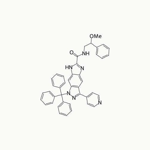 COC(CNC(=O)c1nc2cc3c(-c4ccncc4)nn(C(c4ccccc4)(c4ccccc4)c4ccccc4)c3cc2[nH]1)c1ccccc1